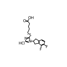 Cl.O=C(O)CCCSSc1nccn1C1Cc2ccc(F)c(F)c2C1